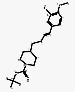 CSc1ccc(/C=C/CCC2CCN(C(=O)OC(C)(C)C)CC2)cc1F